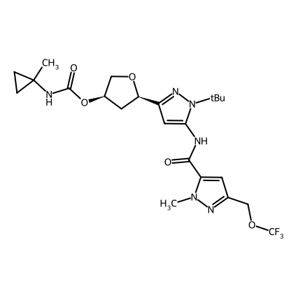 Cn1nc(COC(F)(F)F)cc1C(=O)Nc1cc([C@H]2C[C@@H](OC(=O)NC3(C)CC3)CO2)nn1C(C)(C)C